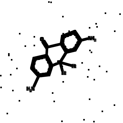 CC[Si]1(CC)c2cc(N)ccc2C(=O)c2ccc(N)cc21